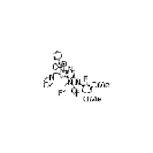 COc1cc(OC)c(F)c(N2Cc3cnc4c(cc(CN5CCOCC5)n4S(=O)(=O)c4ccccc4)c3N(CCF)C2=O)c1F